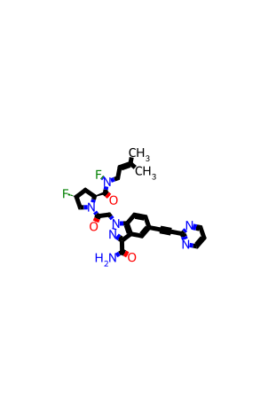 CC(C)=CCN(F)C(=O)[C@@H]1C[C@@H](F)CN1C(=O)Cn1nc(C(N)=O)c2cc(C#Cc3ncccn3)ccc21